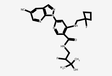 CC(C)(O)C(F)CNC(=O)c1cnc(-n2ncc3cc(C#N)cnc32)cc1NCC1(F)CCC1